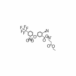 CCOC(=O)CCN(C)OC(=O)c1cc(Oc2ccc(C(F)(F)C(F)(F)F)cc2[N+](=O)[O-])ccc1C#N